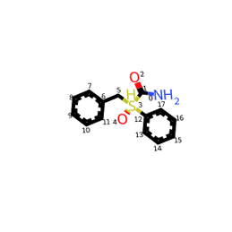 NC(=O)[SH](=O)(Cc1ccccc1)c1ccccc1